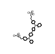 Cl[SiH](Cl)CCCc1ccc(N(c2ccccc2)c2ccc(-c3ccc(N(c4ccccc4)c4ccc(CCCS(Cl)(Cl)Cl)cc4)cc3)cc2)cc1